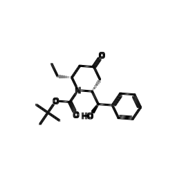 CC[C@@H]1CC(=O)C[C@H]([C@H](O)c2ccccc2)N1C(=O)OC(C)(C)C